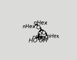 CCCCCCC(CCCCCC)COCC(COCC(CCCCCC)CCCCCC)COCC(CO)(CO)CO